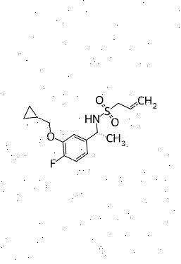 C=CCS(=O)(=O)N[C@H](C)c1ccc(F)c(OCC2CC2)c1